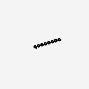 Cc1ccccc1-c1ccc(-c2ccc(-c3ccc(-c4ccc(-c5ccc(-c6ccc(-c7cc[c]cc7)cc6)cc5)cc4)cc3)cc2)cc1